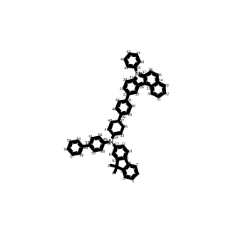 CC1(C)c2ccccc2-c2ccc(N(C3=CCC(c4ccc(-c5ccc6c(c5)c5c7ccccc7ccc5n6-c5ccccc5)cc4)C=C3)c3ccc(-c4ccccc4)cc3)cc21